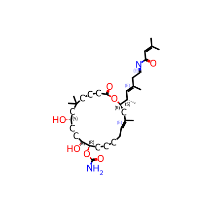 CC(C)=CC(=O)/N=C/C/C(C)=C/[C@H](C)[C@H]1C/C(C)=C/CCCC[C@@H](OC(N)=O)[C@H](O)CC[C@H](O)CC(C)(C)CCCC(=O)O1